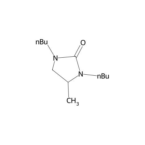 CCCCN1CC(C)N(CCCC)C1=O